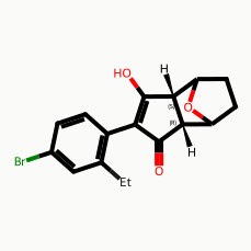 CCc1cc(Br)ccc1C1=C(O)[C@@H]2C3CCC(O3)[C@@H]2C1=O